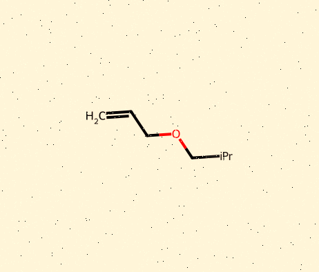 C=CCOCC(C)C